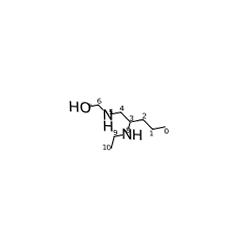 CCCC(CNCO)NCC